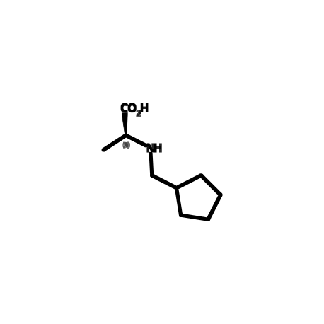 C[C@H](NCC1CCCC1)C(=O)O